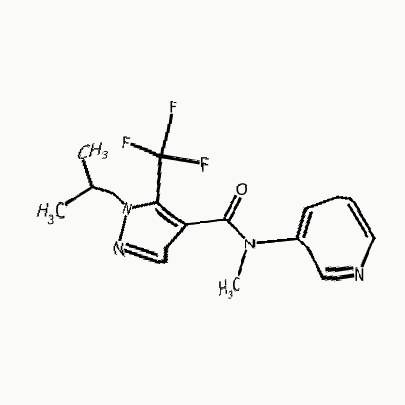 CC(C)n1ncc(C(=O)N(C)c2cccnc2)c1C(F)(F)F